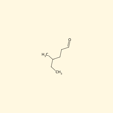 CC[C](C)CCC=O